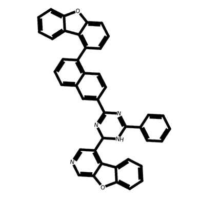 c1ccc(C2=NC(c3ccc4c(-c5cccc6oc7ccccc7c56)cccc4c3)=NC(c3cncc4oc5ccccc5c34)N2)cc1